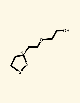 OCCOCC[C@@H]1CCSS1